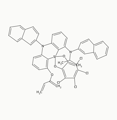 C=CC(=C)Oc1cccc2c1[Si]1(Oc3c(Cl)c(Cl)c(Cl)c(Cl)c3O1)c1c(cccc1N(c1ccc3ccccc3c1)C(C)C)N2c1ccc2ccccc2c1